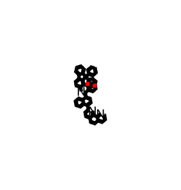 c1ccc(C2(c3ccccc3)c3ccccc3-c3ccc4nc(-c5ccc(-c6ccc7ccc8cccnc8c7n6)c6ccccc56)c5ccccc5c4c32)cc1